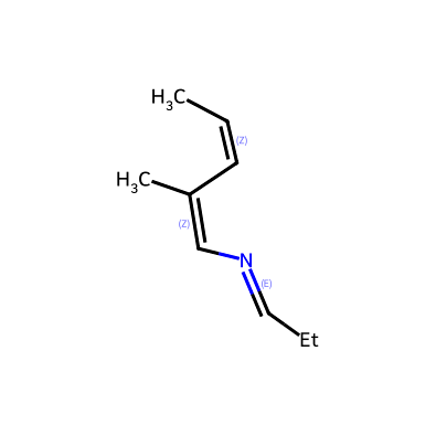 C\C=C/C(C)=C\N=C\CC